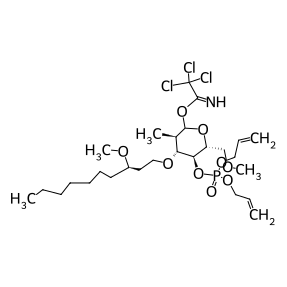 C=CCOP(=O)(OCC=C)O[C@H]1[C@H](OCC[C@@H](CCCCCCC)OC)[C@@H](C)C(OC(=N)C(Cl)(Cl)Cl)O[C@@H]1COC